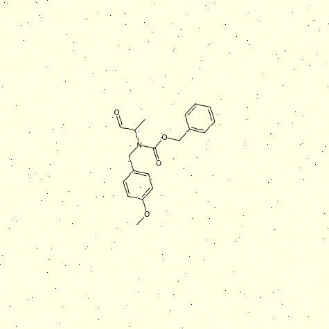 COc1ccc(CN(C(=O)OCc2ccccc2)C(C)C=O)cc1